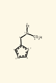 CCN(Cc1cncs1)C(=O)O